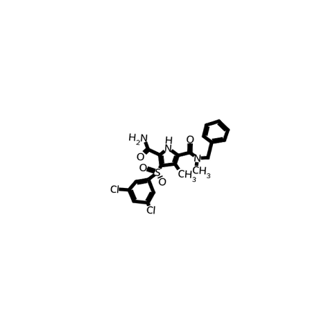 Cc1c(C(=O)N(C)Cc2ccccc2)[nH]c(C(N)=O)c1S(=O)(=O)c1cc(Cl)cc(Cl)c1